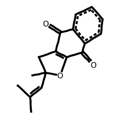 CC(C)=CC1(C)CC2=C(O1)C(=O)c1ccccc1C2=O